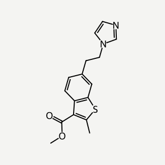 COC(=O)c1c(C)sc2cc(CCn3ccnc3)ccc12